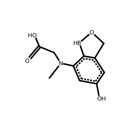 CN(CC(=O)O)c1cc(O)cc2c1BOC2